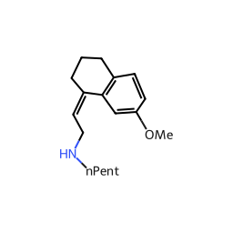 CCCCCNC/C=C1/CCCc2ccc(OC)cc21